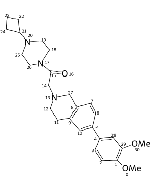 COc1ccc(-c2ccc3c(c2)CCN(CC(=O)N2CCN(C4CCC4)CC2)C3)cc1OC